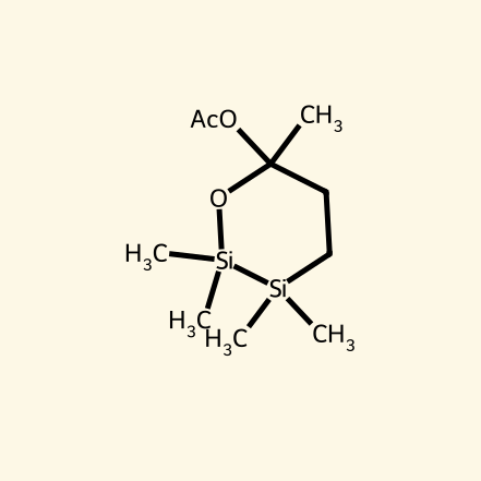 CC(=O)OC1(C)CC[Si](C)(C)[Si](C)(C)O1